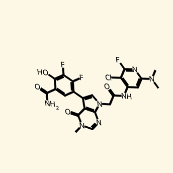 CN(C)c1cc(NC(=O)Cn2cc(-c3cc(C(N)=O)c(O)c(F)c3F)c3c(=O)n(C)cnc32)c(Cl)c(F)n1